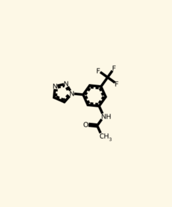 CC(=O)Nc1cc(-n2ccnn2)cc(C(F)(F)F)c1